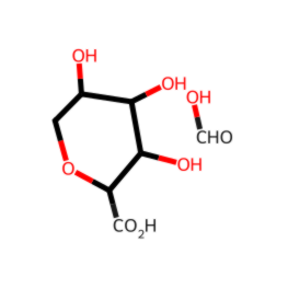 O=C(O)C1OCC(O)C(O)C1O.O=CO